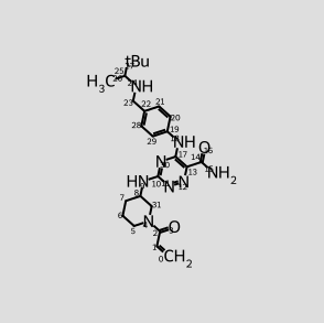 C=CC(=O)N1CCCC(Nc2nnc(C(N)=O)c(Nc3ccc(CNC(C)C(C)(C)C)cc3)n2)C1